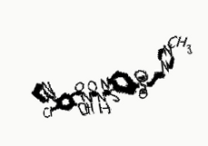 CN1CCN(CCCS(=O)(=O)c2ccc3nc(NC(=O)NC(=O)c4cc(-n5cccn5)c(Cl)cc4Cl)sc3c2)CC1